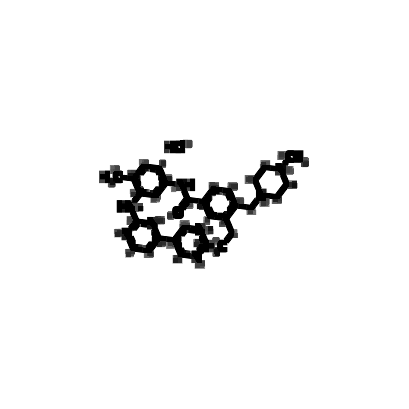 CCc1cc(C(=O)Nc2ccc(C)c(Nc3nccc(-c4cncnc4)n3)c2)ccc1CN1CCN(C)CC1.Cl